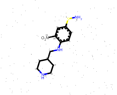 NSc1ccc(NCC2CCNCC2)c([N+](=O)[O-])c1